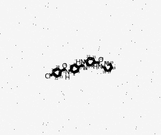 O=C(Nc1ccc(-c2nc3cc(C(=O)Nc4ccccn4)ccc3[nH]2)cc1)c1ccc(Cl)cc1